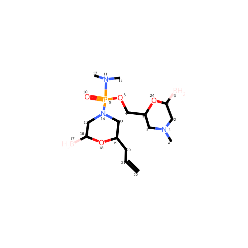 BC1CN(C)CC(COP(=O)(N(C)C)N2CC(B)OC(CC=C)C2)O1